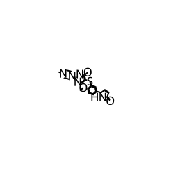 COc1nc(N2CCN(C)CC2)nc(OC)c1Sc1cccc(C2C=CC(=O)N2)c1